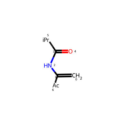 C=C(NC(=O)C(C)C)C(C)=O